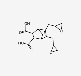 O=C(O)C1C2CC(C(CC3CO3)=C2CC2CO2)C1C(=O)O